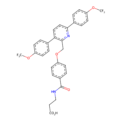 O=C(O)CCNC(=O)c1ccc(OCc2nc(-c3ccc(OC(F)(F)F)cc3)ccc2-c2ccc(OC(F)(F)F)cc2)cc1